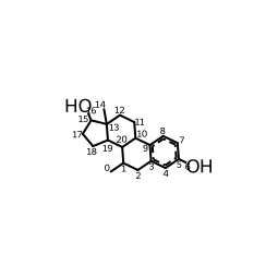 CC1Cc2cc(O)ccc2C2CCC3(C)C(O)CCC3C12